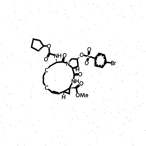 COC(=O)[C@@]12C[C@H]1/C=C\CCCCC[C@H](NC(=O)OC1CCCC1)C(=O)N1C[C@H](OS(=O)(=O)c3ccc(Br)cc3)C[C@H]1C(=O)N2